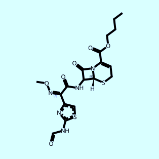 CCCCOC(=O)C1=CCS[C@@H]2C(NC(=O)/C(=N\OC)c3csc(NC=O)n3)C(=O)N12